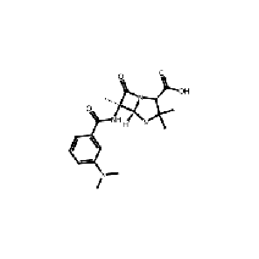 CN(C)c1cccc(C(=O)N[C@@]2(C)C(=O)N3[C@@H](C(=O)O)C(C)(C)S[C@@H]32)c1